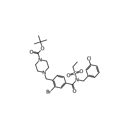 CCS(=O)(=O)N(Cc1cccc(Cl)c1)C(=O)c1ccc(CN2CCN(C(=O)OC(C)(C)C)CC2)c(Br)c1